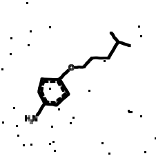 CC(C)CCCOc1ccc(N)cc1